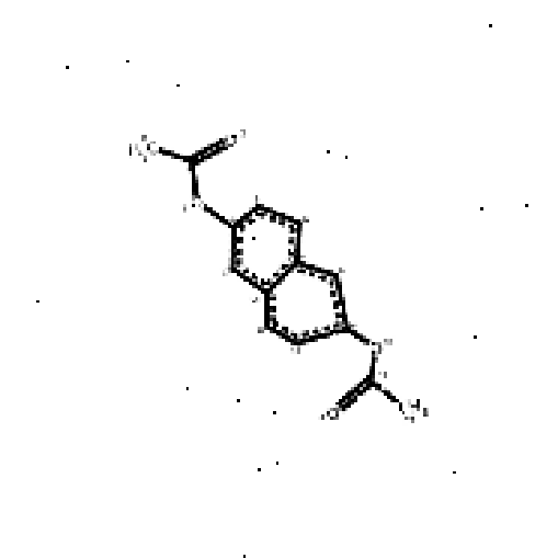 CC(=O)Oc1ccc2cc(OC(C)=O)ccc2c1